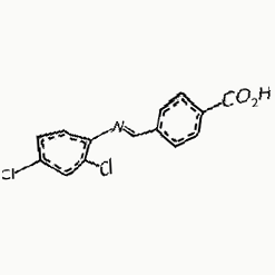 O=C(O)c1ccc(C=Nc2ccc(Cl)cc2Cl)cc1